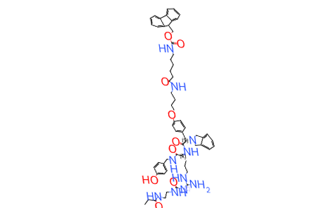 CCC(=O)NCCNC(=O)/N=C(/N)NCCC[C@@H](NC(=O)[C@H](c1ccc(OCCCCNC(=O)CCCCCNC(=O)OCC2c3ccccc3-c3ccccc32)cc1)N1Cc2ccccc2C1)C(=O)NCc1ccc(O)cc1